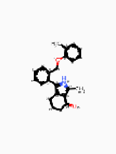 Cc1ccccc1OCc1ccccc1-c1[nH]c(C)c2c1CCCC2=O